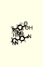 N#Cc1ccc(-c2cccnn2)c(NS(=O)(=O)c2cc(C(=O)O)ccc2C2CC2)c1